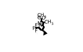 COC(=O)c1nn2c(C(F)(F)F)cc(C3CC3)cc2c1C